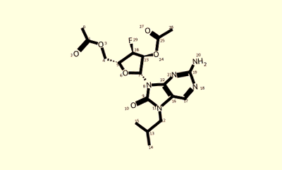 CC(=O)OC[C@H]1O[C@@H](n2c(=O)n(CC(C)C)c3cnc(N)nc32)[C@H](OC(C)=O)[C@@H]1F